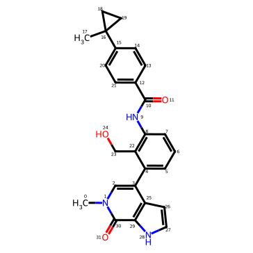 Cn1cc(-c2cccc(NC(=O)c3ccc(C4(C)CC4)cc3)c2CO)c2cc[nH]c2c1=O